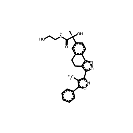 C[C@](O)(C(=O)NCCO)c1ccc2c(c1)CCc1c-2noc1-c1noc(-c2ccccc2)c1C(F)(F)F